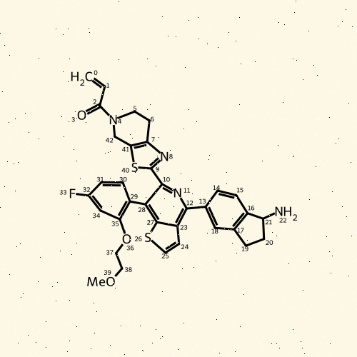 C=CC(=O)N1CCc2nc(-c3nc(-c4ccc5c(c4)CCC5N)c4ccsc4c3-c3ccc(F)cc3OCCOC)sc2C1